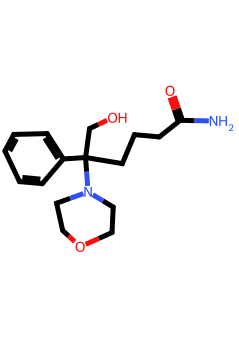 NC(=O)CCCC(CO)(c1ccccc1)N1CCOCC1